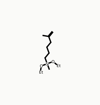 C=C(C)CCCC[Si](C)(OCC)OCC